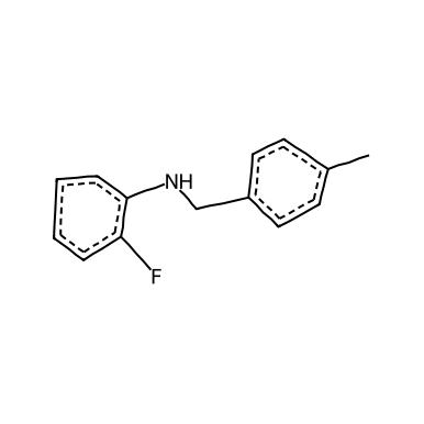 Cc1ccc(CNc2ccccc2F)cc1